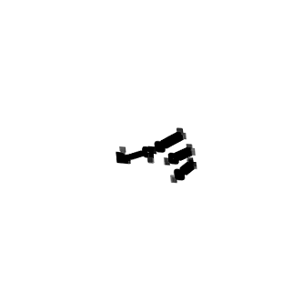 [C]=O.[C]=O.[C]=O.[Cl][Re]